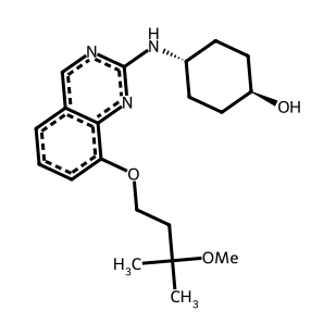 COC(C)(C)CCOc1cccc2cnc(N[C@H]3CC[C@H](O)CC3)nc12